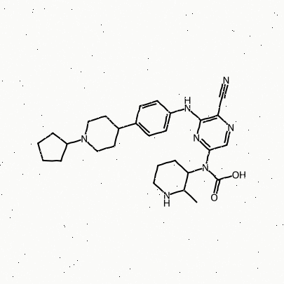 CC1NCCCC1N(C(=O)O)c1cnc(C#N)c(Nc2ccc(C3CCN(C4CCCC4)CC3)cc2)n1